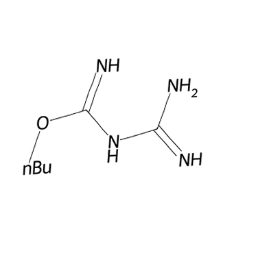 CCCCOC(=N)NC(=N)N